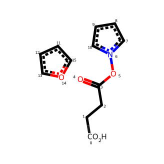 O=C(O)CCC(=O)On1cccc1.c1ccoc1